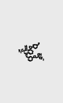 OC(COc1cccc(CN(CC(O)C(F)(F)F)c2cccc(Oc3ccc(F)cc3)c2)c1)C(F)(F)F